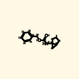 O=C(NC12CCCC1C2)OCc1ccccc1